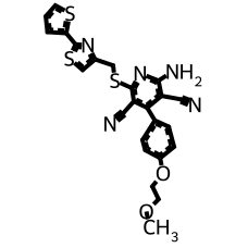 COCCOc1ccc(-c2c(C#N)c(N)nc(SCc3csc(-c4cccs4)n3)c2C#N)cc1